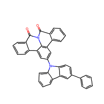 O=c1c2ccccc2c2cc(-n3c4ccccc4c4cc(-c5ccccc5)ccc43)cc3c4ccccc4c(=O)n1c23